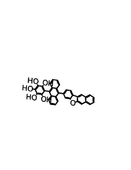 Oc1c(O)c(O)c(-c2c3ccccc3c(-c3ccc4c(c3)oc3cc5ccccc5cc34)c3ccccc23)c(O)c1O